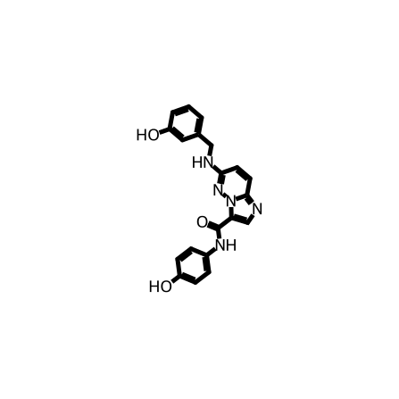 O=C(Nc1ccc(O)cc1)c1cnc2ccc(NCc3cccc(O)c3)nn12